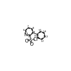 O=S(=O)(Cl)c1ncccc1-c1ccccc1